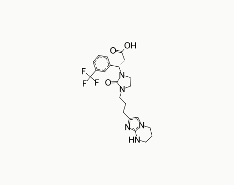 O=C(O)C[C@@H](c1cccc(C(F)(F)F)c1)N1CCN(CCCc2cn3c(n2)NCCC3)C1=O